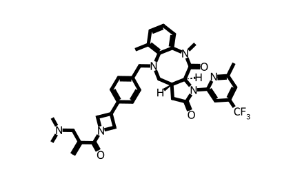 C=C(CN(C)C)C(=O)N1CC(c2ccc(CN3C[C@H]4CC(=O)N(c5cc(C(F)(F)F)cc(C)n5)[C@@H]4C(=O)N(C)c4cccc(C)c43)cc2)C1